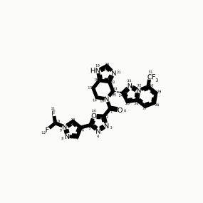 O=C(c1nnc(-c2cnn(C(F)F)c2)o1)N1CCc2[nH]cnc2[C@@H]1c1cc2cccc(C(F)(F)F)n2n1